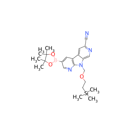 CC1(C)OB(c2cnc3c(c2)c2cc(C#N)ncc2n3COCC[Si](C)(C)C)OC1(C)C